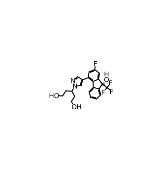 OCCC(CCO)n1cc(-c2cc(F)cc3c2-c2ccccc2[C@]3(O)C(F)(F)F)cn1